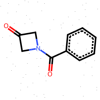 O=C1CN(C(=O)c2ccccc2)C1